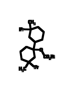 CCOC(=O)OC1(C2CCCC(C)(C(C)C)C2)CCCC(C)(C(C)C)C1